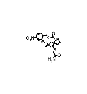 CCCC[Si](C)(C)OC1(CSCC(N)=O)CCCN1C(=O)OCc1ccc([N+](=O)[O-])cc1